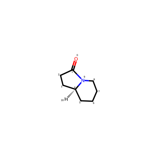 O=C1CC[C@@H]2CCCCN12